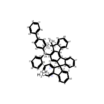 C=C/C=C1\C(=C/C)c2ccccc2C12c1ccccc1-c1c2cc(N(c2ccccc2)c2ccc(-c3ccccc3)cc2)c2c1-c1ccccc1C2(C)C